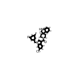 O=C(c1cn(Cc2cc(F)cc(F)c2)c2cc(Cl)ccc12)N1CCC2(CC1)CNc1ccccc12